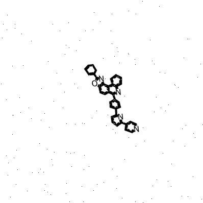 C1=CCCC(c2nc3c(ccc4c(-c5ccc(-c6cccc(-c7ccncc7)n6)cc5)nc5ccccc5c43)o2)=C1